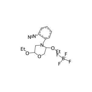 CCOC1CN(c2ccccc2[N+]#N)C(OCC)CO1.F[B-](F)(F)F